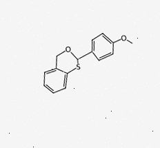 COc1ccc(C2OCc3ccccc3S2)cc1